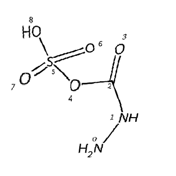 NNC(=O)OS(=O)(=O)O